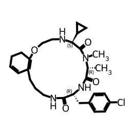 C[C@@H]1C(=O)N[C@H](Cc2ccc(Cl)cc2)C(=O)NCCCC2=C(CCC=C2)OCCN[C@@H](C2CC2)C(=O)N1C